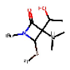 CCSC1N(C(C)(C)C)C(=O)C1(C(C)O)[SiH](C)C